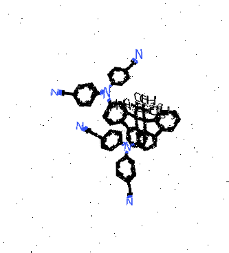 CC(C)(C)C1(C2(C(C)(C)C)c3ccccc3-c3ccc(N(c4ccc(C#N)cc4)c4ccc(C#N)cc4)cc32)c2ccccc2-c2ccc(N(c3ccc(C#N)cc3)c3ccc(C#N)cc3)cc21